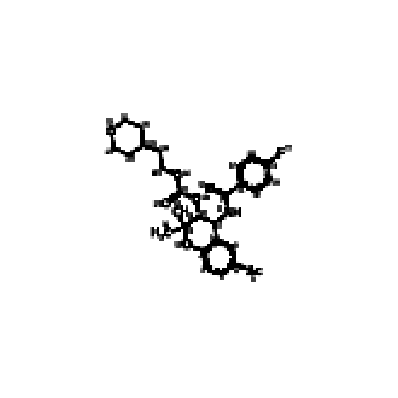 CC(=O)c1ccc2c(c1)[C@H](NC(=O)c1ccc(F)cc1)[C@@H](OC(=O)OCCN1CCOCC1)C(C)(C)O2